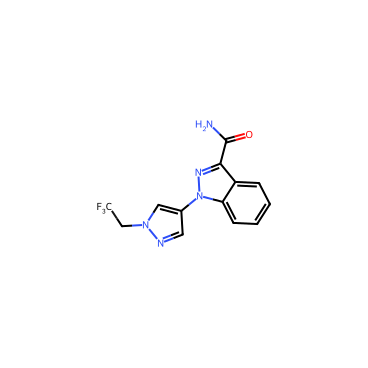 NC(=O)c1nn(-c2cnn(CC(F)(F)F)c2)c2ccccc12